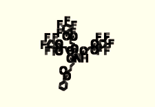 O=C(CCCC(=O)OCc1ccccc1)NC(COCCC(=O)Oc1c(F)c(F)c(F)c(F)c1F)(COCCC(=O)Oc1c(F)c(F)c(F)c(F)c1F)COCCC(=O)Oc1c(F)c(F)c(F)c(F)c1F